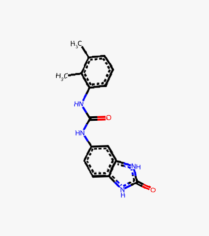 Cc1cccc(NC(=O)Nc2ccc3[nH]c(=O)[nH]c3c2)c1C